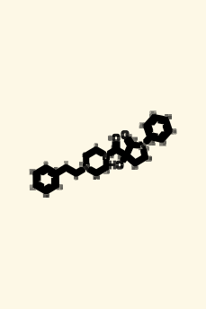 O=C(N1CCN(CCc2ccccc2)CC1)C1(O)CCN(c2ccccc2)C1=O